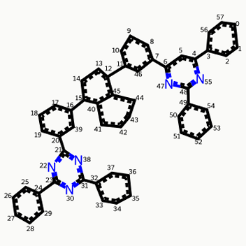 c1ccc(-c2cc(-c3cccc(-c4ccc(-c5cccc(-c6nc(-c7ccccc7)nc(-c7ccccc7)n6)c5)c5ccccc45)c3)nc(-c3ccccc3)n2)cc1